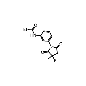 CCC(=O)Nc1cccc(N2C(=O)CC(C)(CC)C2=O)c1